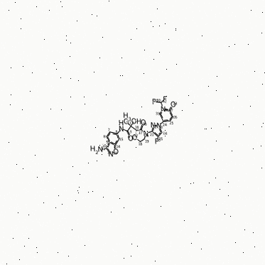 C[C@](O)(C(=O)Nc1ccc2c(N)noc2c1)[C@H]1OCCN(c2nn(-c3ccc(=O)n(C(F)F)c3)cc2F)C1=O